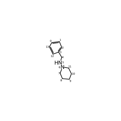 c1ccc(CNN2CCCCC2)cc1